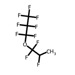 CC(F)C(F)(F)OC(F)(F)C(F)(F)C(F)(F)F